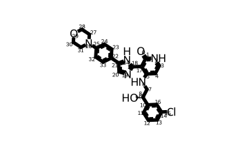 O=c1[nH]ccc(NC[C@@H](O)c2cccc(Cl)c2)c1-c1ncc(-c2ccc(N3CCOCC3)cc2)[nH]1